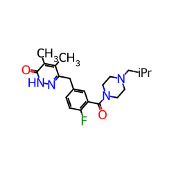 Cc1c(Cc2ccc(F)c(C(=O)N3CCN(CC(C)C)CC3)c2)n[nH]c(=O)c1C